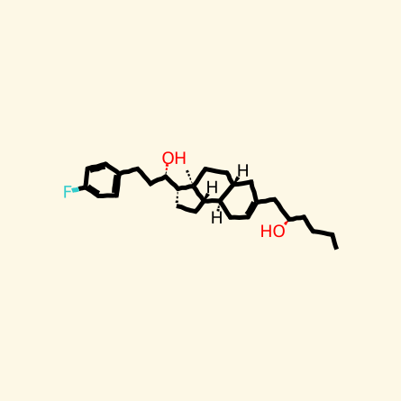 CCCC[C@H](O)CC1=CC[C@@H]2[C@H](CC[C@]3(C)[C@@H]([C@@H](O)CCc4ccc(F)cc4)CC[C@@H]23)C1